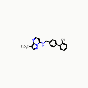 CCOC(=O)c1cnn2c(NCc3ccc(-c4ccccc4C#N)cc3)ccnc12